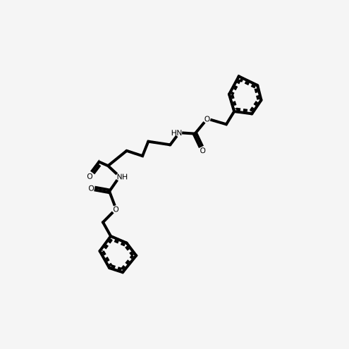 O=[C]C(CCCCNC(=O)OCc1ccccc1)NC(=O)OCc1ccccc1